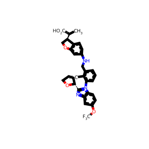 Cc1c(CNc2ccc3c(c2)OC[C@H]3C(C)C(=O)O)cccc1-n1c([C@H]2CCCO2)nc2cc(OC(F)(F)F)ccc21